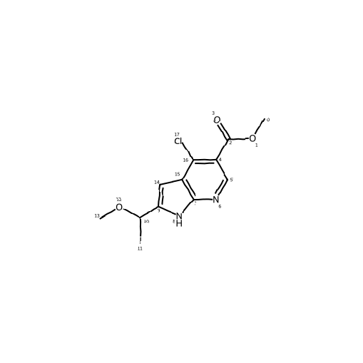 COC(=O)c1cnc2[nH]c(C(I)OC)cc2c1Cl